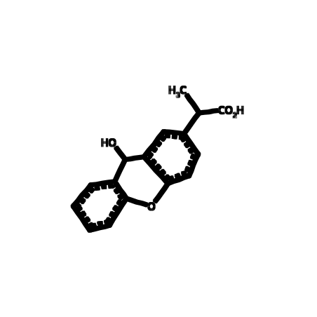 CC(C(=O)O)c1ccc2c(c1)C(O)c1ccccc1O2